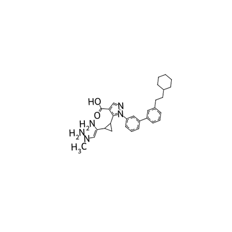 CN(N)/C=C(\N)C1CC1c1c(C(=O)O)cnn1-c1cccc(-c2cccc(CCC3CCCCC3)c2)c1